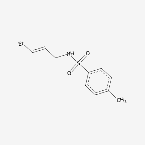 CCC=CCNS(=O)(=O)c1ccc(C)cc1